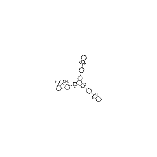 CC1(C)c2ccccc2-c2ccc(-c3cc4c5c(c6oc(-c7ccc(-c8nc9ccccc9o8)cc7)cc6c4o3)CC(c3ccc(-c4nc6ccccc6o4)cc3)O5)cc21